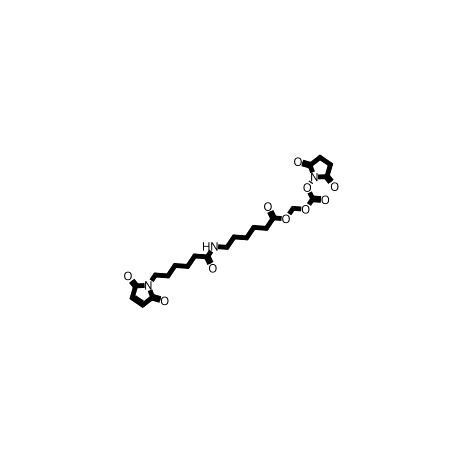 O=C(CCCCCN1C(=O)C=CC1=O)NCCCCCC(=O)OCOC(=O)ON1C(=O)CCC1=O